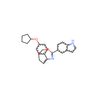 C1=C(c2ccc(OC3CCCC3)cc2)/N=C(/c2ccc3[nH]ccc3c2)OCCC/1